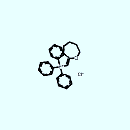 C(=C1CCCCCO1)[P+](c1ccccc1)(c1ccccc1)c1ccccc1.[Cl-]